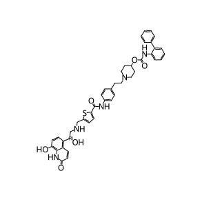 O=C(Nc1ccccc1-c1ccccc1)OC1CCN(CCc2ccc(NC(=O)c3ccc(CNC[C@H](O)c4ccc(O)c5[nH]c(=O)ccc45)s3)cc2)CC1